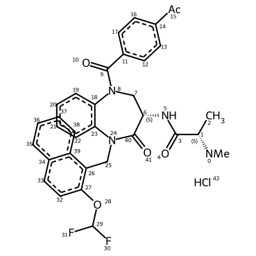 CN[C@@H](C)C(=O)N[C@H]1CN(C(=O)c2ccc(C(C)=O)cc2)c2ccccc2N(Cc2c(OC(F)F)ccc3ccccc23)C1=O.Cl